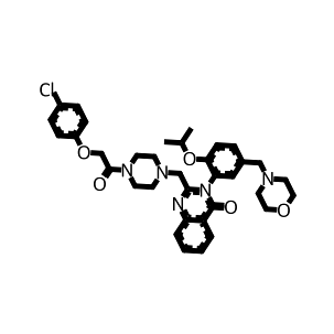 CC(C)Oc1ccc(CN2CCOCC2)cc1-n1c(CN2CCN(C(=O)COc3ccc(Cl)cc3)CC2)nc2ccccc2c1=O